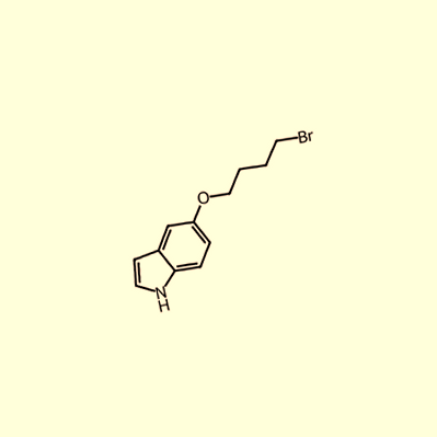 BrCCCCOc1ccc2[nH]ccc2c1